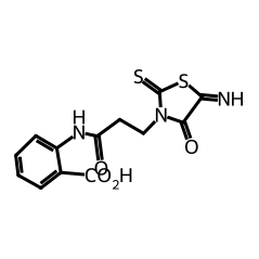 N=C1SC(=S)N(CCC(=O)Nc2ccccc2C(=O)O)C1=O